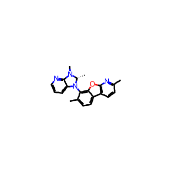 Cc1ccc2c(n1)oc1c(N3c4cccnc4N(C)[C@@H]3C)c(C)ccc12